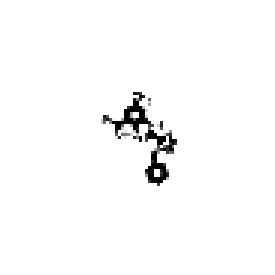 CCCC(=O)c1cc(C)cc(NC(=O)c2nnnn2Cc2ccccc2)c1O